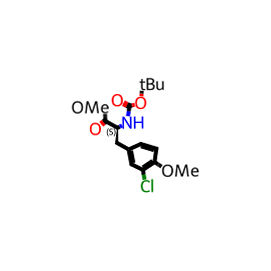 COC(=O)[C@H](Cc1ccc(OC)c(Cl)c1)NC(=O)OC(C)(C)C